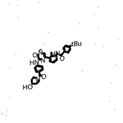 Cc1c(NC(=O)c2ccc(C(C)(C)C)cc2)cccc1-c1cn(C)c(=O)c(Nc2ccc(C(=O)N3CCC(O)CC3)cc2)n1